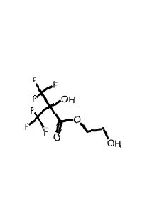 O=C(OCCO)C(O)(C(F)(F)F)C(F)(F)F